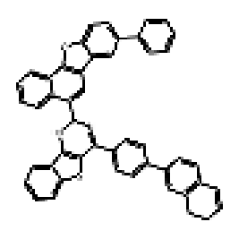 C1=Cc2ccc(-c3ccc(C4=NC(c5cc6c7cc(-c8ccccc8)ccc7oc6c6ccccc56)Nc5c4sc4ccccc54)cc3)cc2CC1